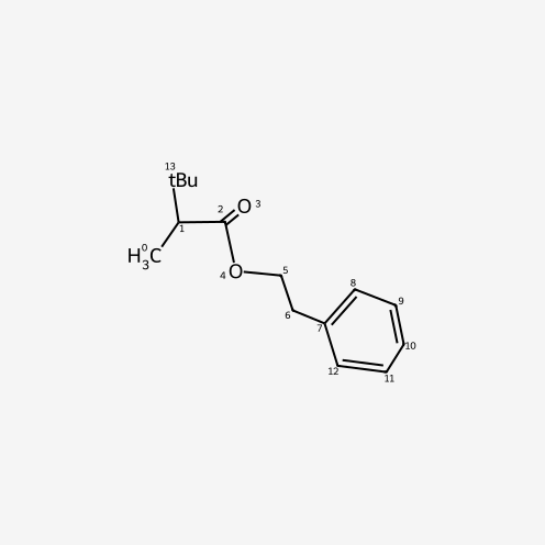 CC(C(=O)OCCc1ccccc1)C(C)(C)C